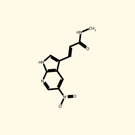 CNC(=O)/C=C/c1c[nH]c2ncc([N+](=O)[O-])cc12